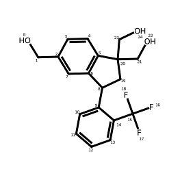 OCc1ccc2c(c1)C(c1ccccc1C(F)(F)F)CC2(CO)CO